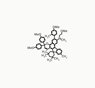 COCCN(C)c1cc2c3c(c4c(c2cc1-c1ccc(OC)cc1C)OC(c1ccc(OC)cc1)(c1ccc(OC)cc1)C=C4)C1(CC(C)(C)CC(C)(C)C1)c1cc(C)ccc1-3